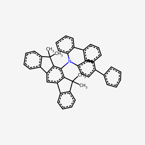 CC1(C)c2ccccc2-c2cc3c(c(N(c4ccc(-c5ccccc5)cc4)c4ccccc4-c4ccccc4)c21)C(C)(C)c1ccccc1-3